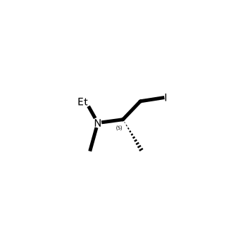 CCN(C)[C@@H](C)CI